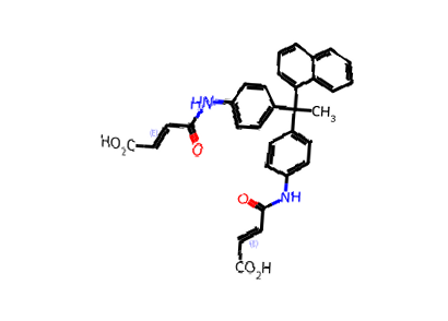 CC(c1ccc(NC(=O)/C=C/C(=O)O)cc1)(c1ccc(NC(=O)/C=C/C(=O)O)cc1)c1cccc2ccccc12